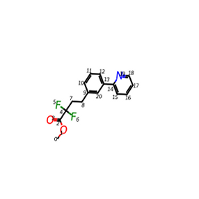 COC(=O)C(F)(F)CCc1cccc(-c2ccccn2)c1